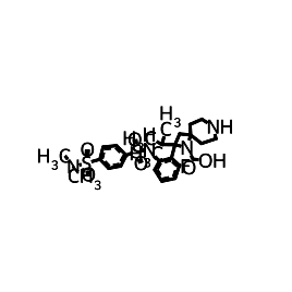 CN(C)S(=O)(=O)c1ccc(S(=O)(=O)Nc2cccc(F)c2C2(C(C)(C)C)CC3(CCNCC3)N2C(=O)O)cc1